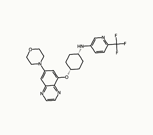 FC(F)(F)c1ccc(N[C@H]2CC[C@@H](Oc3cc(N4CCOCC4)cc4nccnc34)CC2)cn1